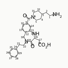 NCCC1CCN(C(=O)c2ccc3c(c2)NC(CC(=O)O)C(=O)N(CCc2ccccc2)C3)CC1